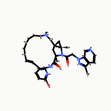 CC(=O)c1nn(CC(=O)N2[C@H]3C[C@]4(C[C@@H]24)CN(C)CCCCCC/C=C/c2ccc(Br)nc2NC3=O)c2cnccc12